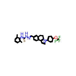 Cc1cccc(C)c1NC(=S)N/N=C/c1ccc2c(c1)CCc1c-2ccn1-c1ccc(OC(F)(F)F)cc1